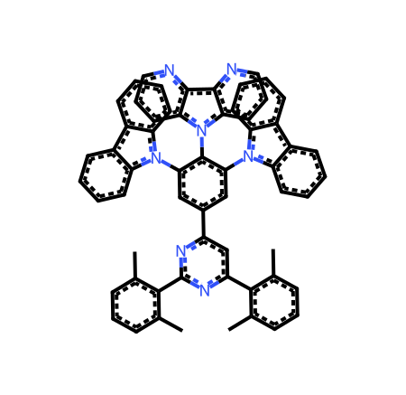 Cc1cccc(C)c1-c1cc(-c2cc(-n3c4ccccc4c4ccccc43)c(-n3c4cccnc4c4ncccc43)c(-n3c4ccccc4c4ccccc43)c2)nc(-c2c(C)cccc2C)n1